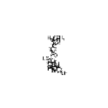 CC(CCC(=O)N1CCC(CN2CCOC(C)(C)C2=O)CC1)[C@H]1CC[C@H]2[C@@H]3CC=C4C[C@@H](O)CC[C@]4(C)[C@H]3CC[C@]12C